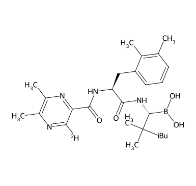 [2H]c1nc(C)c(C)nc1C(=O)N[C@@H](Cc1cccc(C)c1C)C(=O)N[C@H](B(O)O)C(C)(C)C(C)CC